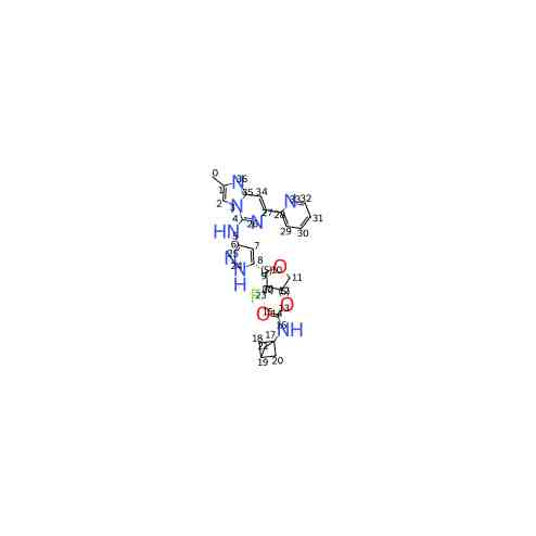 Cc1cn2c(Nc3cc([C@@H]4OC[C@H](OC(=O)NC56CC(C5)C6)[C@@H]4F)[nH]n3)nc(-c3ccccn3)cc2n1